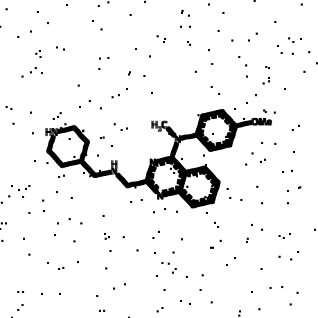 COc1ccc(N(C)c2nc(CNCC3CCNCC3)nc3ccccc23)cc1